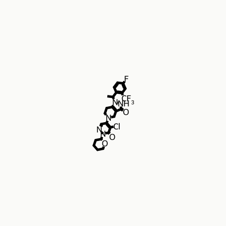 CC(c1ccc(F)cc1C(F)(F)F)n1[nH]c(=O)c2c1CCN(c1cnn(C3CCCCO3)c(=O)c1Cl)C2